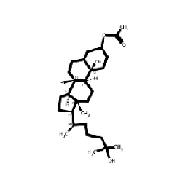 CC(=O)OC1CC[C@@]2(C)C(CC[C@H]3[C@@H]4CC[C@H]([C@H](C)CCCC(C)(C)O)[C@@]4(C)CC[C@@H]32)C1